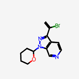 C=C(Br)c1nn(C2CCCCO2)c2cnccc12